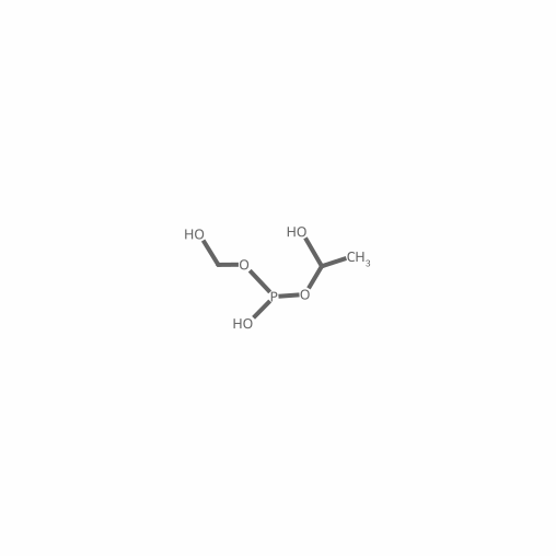 CC(O)OP(O)OCO